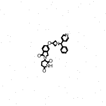 O=C1CCC(N2Cc3cc(OC4CN(C(c5ccccc5)c5ccncc5)C4)ccc3C2=O)C(=O)N1